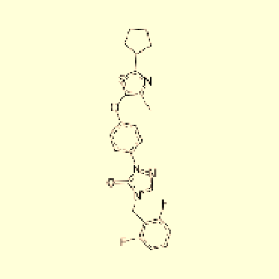 Cc1nc(C2CCCC2)sc1Oc1ccc(-n2ncn(Cc3c(F)cccc3F)c2=O)cc1